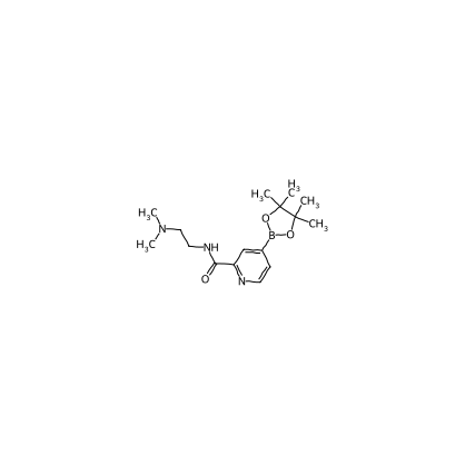 CN(C)CCNC(=O)c1cc(B2OC(C)(C)C(C)(C)O2)ccn1